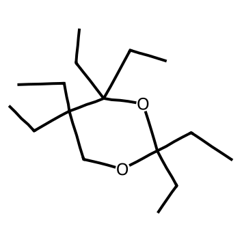 CCC1(CC)OCC(CC)(CC)C(CC)(CC)O1